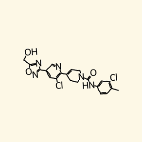 Cc1ccc(NC(=O)N2CC=C(c3ncc(-c4noc(CO)n4)cc3Cl)CC2)cc1Cl